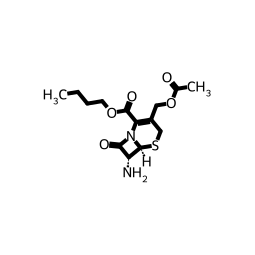 CCCCOC(=O)C1=C(COC(C)=O)CS[C@H]2[C@H](N)C(=O)N12